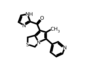 Cc1c(C(=O)c2ncc[nH]2)c2n(c1-c1cccnc1)CSC2